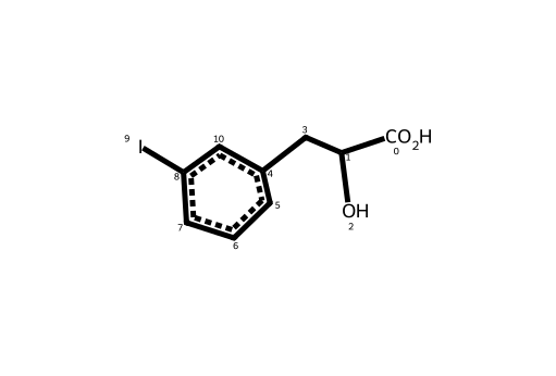 O=C(O)C(O)Cc1cccc(I)c1